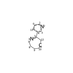 c1cncc(/C2=N/CCCCCC2)c1